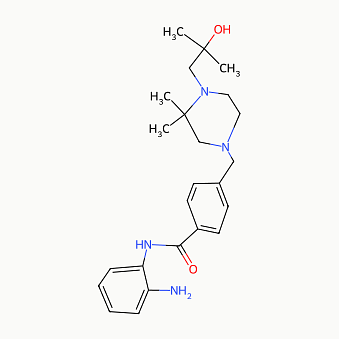 CC(C)(O)CN1CCN(Cc2ccc(C(=O)Nc3ccccc3N)cc2)CC1(C)C